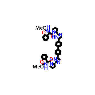 COC(=O)N[C@@H](C(=O)N1CCCC1c1ncc(-c2ccc(-c3ccc(-c4cnc([C@@H]5CCCN5C(=O)[C@H](NC(=O)OC)c5ccccc5)[nH]4)cc3)cc2)[nH]1)c1ccccc1